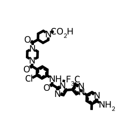 Cc1cc(-n2cc(-c3cnc(C(=O)Nc4ccc(C(=O)N5CCN(C(=O)C6CCN(C(=O)O)CC6)CC5)c(Cl)c4)n3C)c(C(F)(F)F)n2)cnc1N